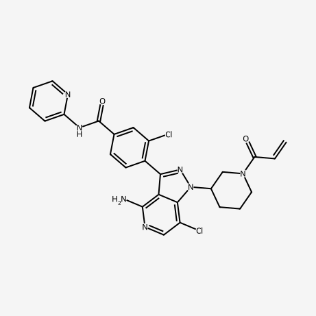 C=CC(=O)N1CCCC(n2nc(-c3ccc(C(=O)Nc4ccccn4)cc3Cl)c3c(N)ncc(Cl)c32)C1